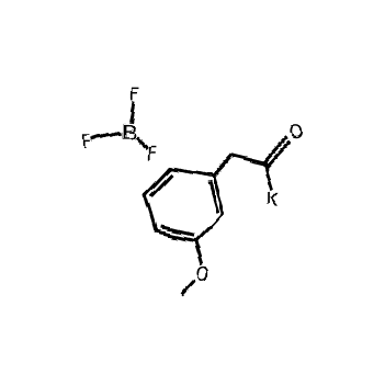 COc1cccc(C[C](=O)[K])c1.FB(F)F